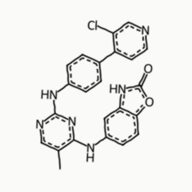 Cc1cnc(Nc2ccc(-c3ccncc3Cl)cc2)nc1Nc1ccc2oc(=O)[nH]c2c1